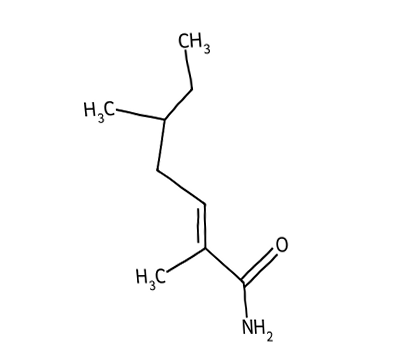 CCC(C)C/C=C(\C)C(N)=O